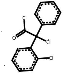 O=C(Cl)C(Cl)(c1ccccc1)c1ccccc1Cl